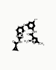 Cc1cc(C(=O)Nc2cc(F)cc(Oc3ccc4nc(NC(=O)C5CC5)nn4c3)c2)n(C)n1